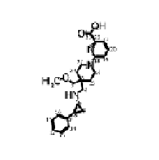 COCC1(CN[C@@H]2CC2c2ccccc2)CCN(c2cccc(C(=O)O)n2)CC1